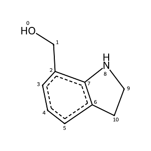 OCc1cccc2c1NCC2